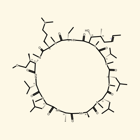 C/C=C/C[C@@H](C)[C@@H](O)C1C(=O)N[C@@H](CC)C(=O)N(C)[C@H](CCCN(C)C)C(=O)N(C)[C@@H]([C@H](C)COC)C(=O)N[C@@H](C(C)C)C(=O)N(C)[C@@H](CC(C)C)C(=O)N[C@@H](C)C(=O)N[C@H](C)C(=O)N(C)[C@@H](CC(C)C)C(=O)N(C)[C@@H](CC(C)C)C(=O)N(C)[C@@H](C(C)C)C(=O)N1C